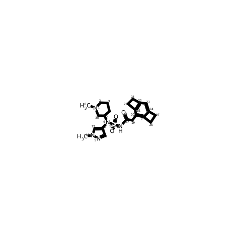 CN1CCCC(N(c2cnn(C)c2)S(=O)(=O)NC(=O)Cc2c3c(cc4c2CC4)CC3)C1